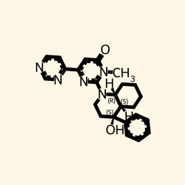 Cn1c(N2CC[C@@](O)(c3ccccc3)[C@H]3CCCC[C@H]32)nc(-c2ccncn2)cc1=O